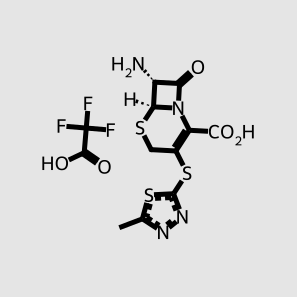 Cc1nnc(SC2=C(C(=O)O)N3C(=O)[C@@H](N)[C@@H]3SC2)s1.O=C(O)C(F)(F)F